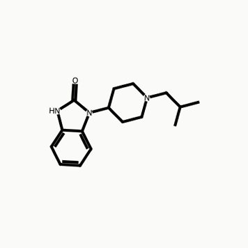 CC(C)CN1CCC(n2c(=O)[nH]c3ccccc32)CC1